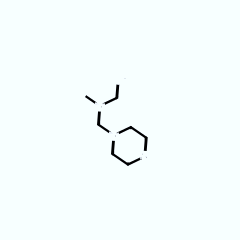 CC(C)CN(C)CN1CCNCC1